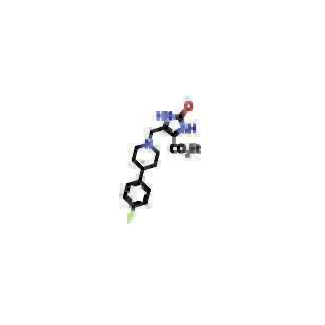 CCOC(=O)c1[nH]c(=O)[nH]c1CN1CCC(c2ccc(F)cc2)CC1